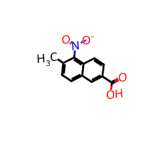 Cc1ccc2cc(C(=O)O)ccc2c1[N+](=O)[O-]